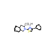 O=C(O)C1Cc2ccccc2CN1c1nc(-c2ccccc2)cs1